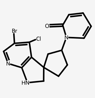 O=c1ccccn1C1CCC2(CNc3ncc(Br)c(Cl)c32)C1